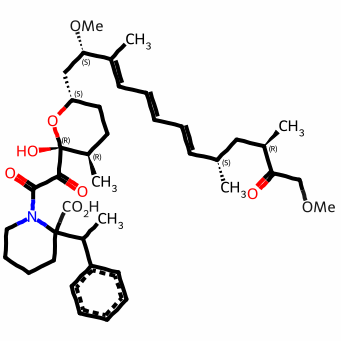 COCC(=O)[C@H](C)C[C@H](C)C=CC=CC=C(C)[C@H](C[C@@H]1CC[C@@H](C)[C@](O)(C(=O)C(=O)N2CCCCC2(C(=O)O)C(C)c2ccccc2)O1)OC